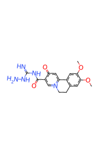 COc1cc2c(cc1OC)-c1cc(=O)c(C(=O)NC(=N)NN)cn1CC2